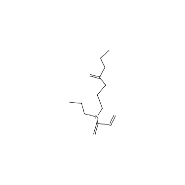 C=CC(=C)N(CCC)CCCC(=C)CCC